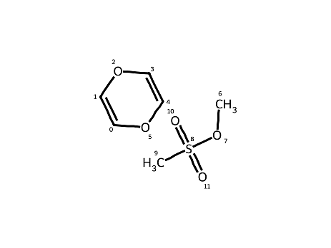 C1=COC=CO1.COS(C)(=O)=O